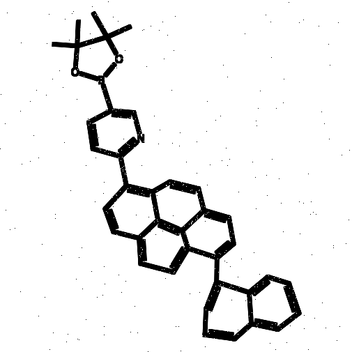 CC1(C)OB(c2ccc(-c3ccc4ccc5c(-c6cccc7ccccc67)ccc6ccc3c4c65)nc2)OC1(C)C